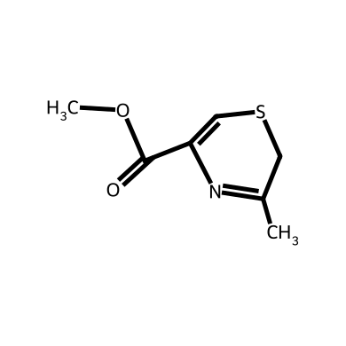 COC(=O)C1=CSCC(C)=N1